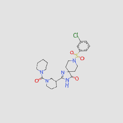 O=C(N1CCCCC1)N1CCCC(C2=NC3(CCN(S(=O)(=O)c4cccc(Cl)c4)CC3)C(=O)N2)C1